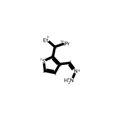 CCC(c1sccc1/C=N\N)C(C)C